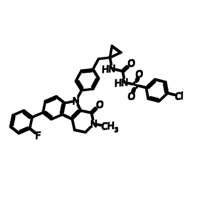 CN1CCc2c(n(-c3ccc(CC4(NC(=O)NS(=O)(=O)c5ccc(Cl)cc5)CC4)cc3)c3ccc(-c4ccccc4F)cc23)C1=O